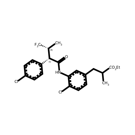 CCOC(=O)C(C)Cc1ccc(Cl)c(NC(=O)[C@H](c2ccc(Cl)cc2)[C@@H](C)C(F)(F)F)c1